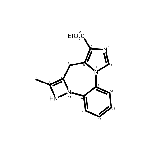 CCOC(=O)c1ncn2c1Cc1c(C)[nH]n1-c1ccccc1-2